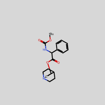 CC(C)(C)OC(=O)NC(C(=O)OC1CN2CCC1CC2)c1ccccc1